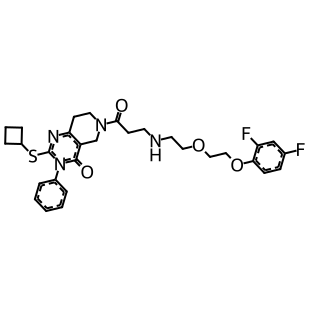 O=C(CCNCCOCCOc1ccc(F)cc1F)N1CCc2nc(SC3CCC3)n(-c3ccccc3)c(=O)c2C1